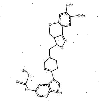 COc1cc2c(cc1OC)C1=NOC(CN3CC=C(c4c[nH]c5ccc(NC(=O)OC(C)(C)C)cc45)CC3)C1CO2